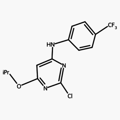 CC(C)Oc1cc(Nc2ccc(C(F)(F)F)cc2)nc(Cl)n1